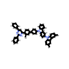 Cc1ccc2c(c1)c1cc(C)ccc1n2-c1ccc2c(c1)c1ccccc1n2-c1ccc(-c2ccc(-c3cc(-c4ccccc4)nc(-c4ccccc4)n3)c(C)c2)cc1